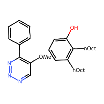 CCCCCCCCc1cccc(O)c1CCCCCCCC.COc1cnnnc1-c1ccccc1